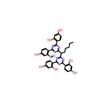 CCCCCC(c1nc(-c2ccc(O)cc2O)nc(-c2ccc(O)cc2O)n1)c1nc(-c2ccc(O)cc2O)nc(-c2ccc(O)cc2N=O)n1